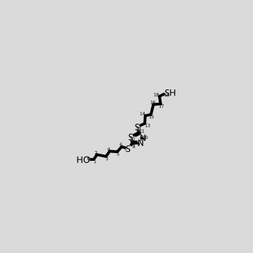 OCCCCCCSc1nnc(SCCCCCCS)s1